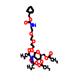 CC(=O)N[C@H]1[C@H](OCCOCCOCCNC(=O)OCc2ccccc2)O[C@H](COC(C)=O)[C@H](OC(C)=O)[C@@H]1OC(C)=O